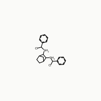 ClC([SiH2]C1C2CCC(C2)C1[SiH2]C(Cl)c1ccccc1)c1ccccc1